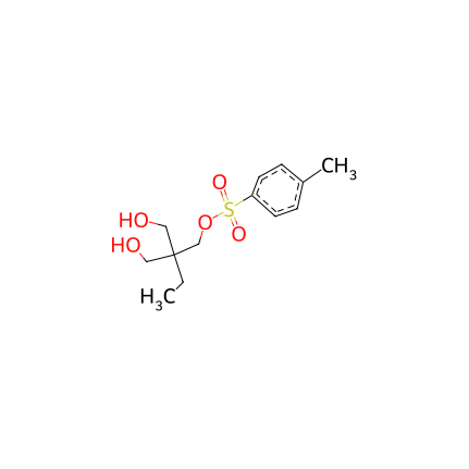 CCC(CO)(CO)COS(=O)(=O)c1ccc(C)cc1